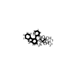 CC1(C)OB(c2cccnc2-c2cccc3sc4c(c23)C=CCC4)OC1(C)C